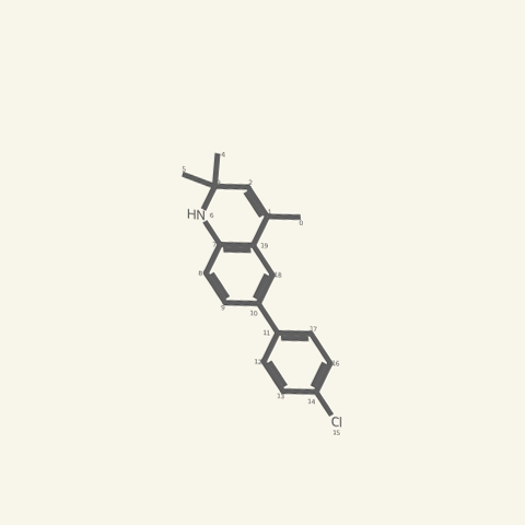 CC1=CC(C)(C)Nc2ccc(-c3ccc(Cl)cc3)cc21